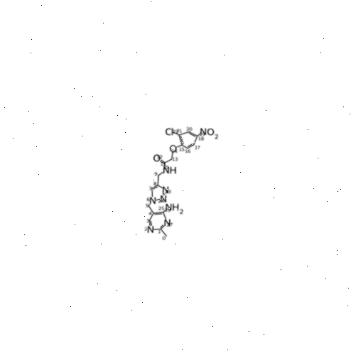 Cc1ncc(Cn2cc(CNC(=O)COc3ccc([N+](=O)[O-])cc3Cl)nn2)c(N)n1